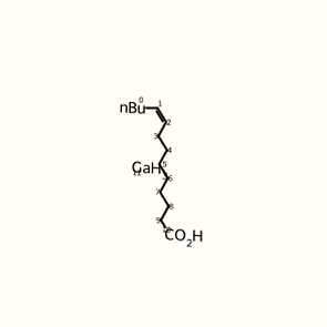 CCCC/C=C\CCCCCCCC(=O)O.[GaH3]